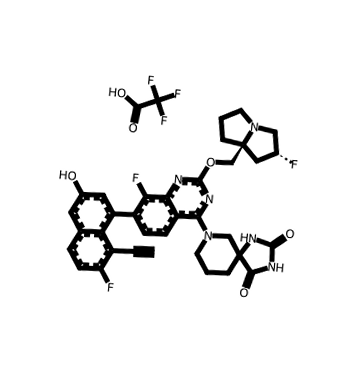 C#Cc1c(F)ccc2cc(O)cc(-c3ccc4c(N5CCCC6(C5)NC(=O)NC6=O)nc(OC[C@@]56CCCN5C[C@H](F)C6)nc4c3F)c12.O=C(O)C(F)(F)F